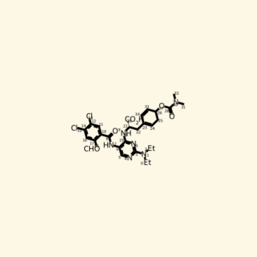 CCN(CC)c1ncc(NC(=O)c2cc(Cl)c(Cl)cc2C=O)c(N[C@@H](CC2=CCC(OC(=O)N(C)C)C=C2)C(=O)O)n1